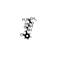 C[C@@H](N)C(=O)NNC(=O)NCc1ccccc1Cl